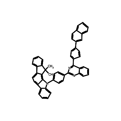 CC1(C)c2ccccc2-c2ccc3c4ccccc4n(-c4ccc(-c5nc(-c6ccc(-c7ccc8ccccc8c7)cc6)c6ccccc6n5)cc4)c3c21